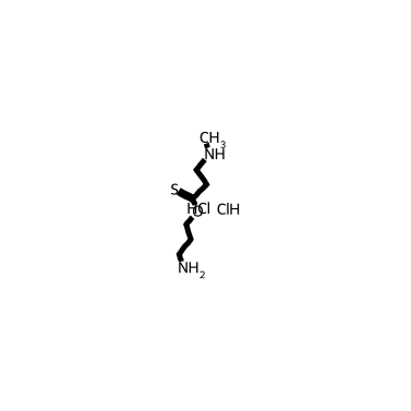 CNCCC(=S)OCCCN.Cl.Cl